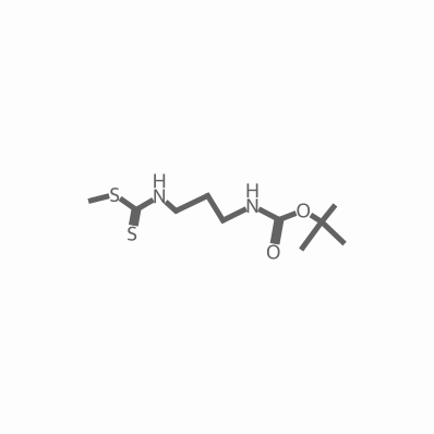 CSC(=S)NCCCNC(=O)OC(C)(C)C